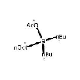 CCCCCCCC[Si](CCCC)(CCCC)OC(C)=O